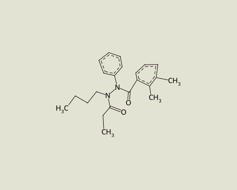 CCCCN(C(=O)CC)N(C(=O)c1cccc(C)c1C)c1ccccc1